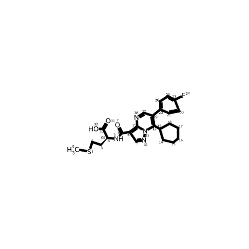 CSCC[C@H](NC(=O)c1cnn2c(C3CCCCC3)c(-c3ccc(F)cc3)cnc12)C(=O)O